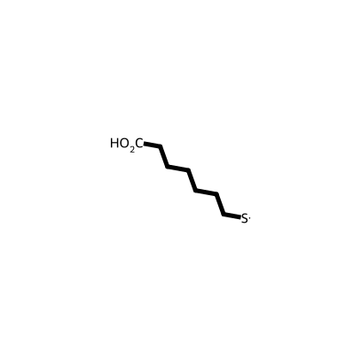 O=C(O)CCCCCC[S]